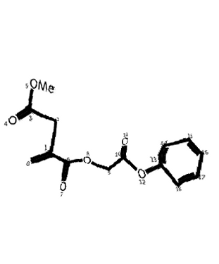 C=C(CC(=O)OC)C(=O)OCC(=O)Oc1ccccc1